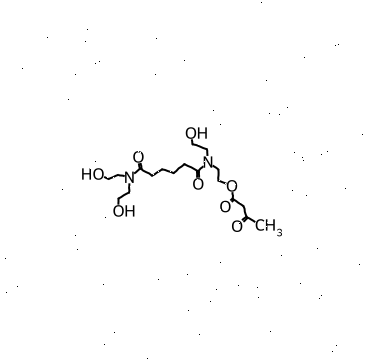 CC(=O)CC(=O)OCCN(CCO)C(=O)CCCCC(=O)N(CCO)CCO